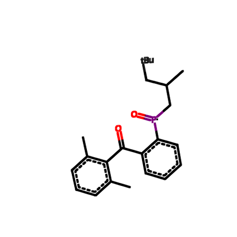 Cc1cccc(C)c1C(=O)c1ccccc1[P](=O)CC(C)CC(C)(C)C